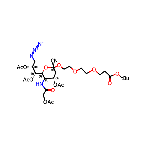 CC(=O)OCC(=O)N[C@H]1[C@H]([C@H](OC(C)=O)[C@@H](CN=[N+]=[N-])OC(C)=O)O[C@](C#N)(OCCOCCOCCC(=O)OC(C)(C)C)C[C@@H]1OC(C)=O